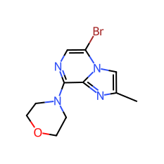 Cc1cn2c(Br)cnc(N3CCOCC3)c2n1